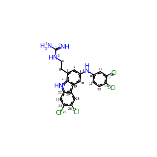 N=C(N)NCCc1cc(Nc2ccc(Cl)c(Cl)c2)cc2c1[nH]c1cc(Cl)c(Cl)cc12